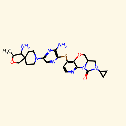 C[C@@H]1OCC2(CCN(c3cnc(Sc4ccnc5c4OCC4CN(C6CC6)C(=O)N54)c(N)n3)CC2)[C@@H]1N